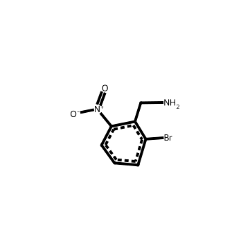 NCc1c(Br)cccc1[N+](=O)[O-]